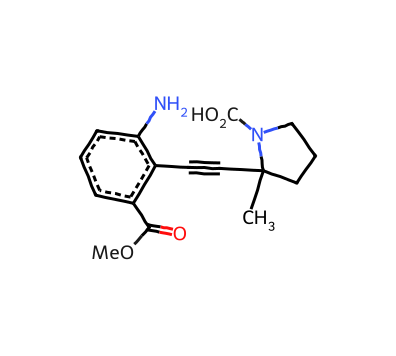 COC(=O)c1cccc(N)c1C#CC1(C)CCCN1C(=O)O